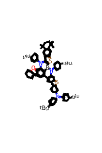 CC(C)(C)c1ccc(N2B3c4sc5cc6c(cc5c4N(c4ccc(C(C)(C)C)cc4)c4c3c(cc3c4oc4ccccc43)-c3cc4c(cc32)sc2cc(N(c3ccc(C(C)(C)C)cc3)c3ccc(C(C)(C)C)cc3)ccc24)C(C)(C)CCC6(C)C)cc1